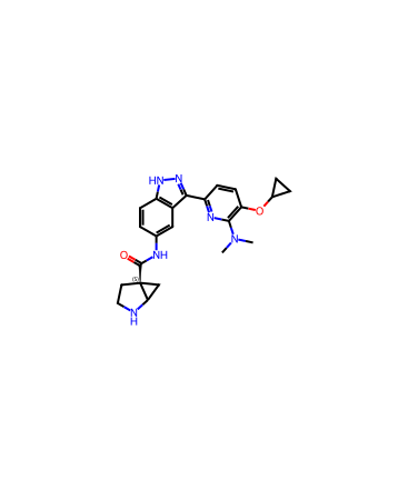 CN(C)c1nc(-c2n[nH]c3ccc(NC(=O)[C@]45CCNC4C5)cc23)ccc1OC1CC1